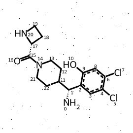 N[C@@H](c1cc(Cl)c(Cl)cc1O)C1CCN(C(=O)[C@H]2CCN2)CC1